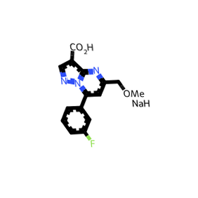 COCc1cc(-c2cccc(F)c2)n2ncc(C(=O)O)c2n1.[NaH]